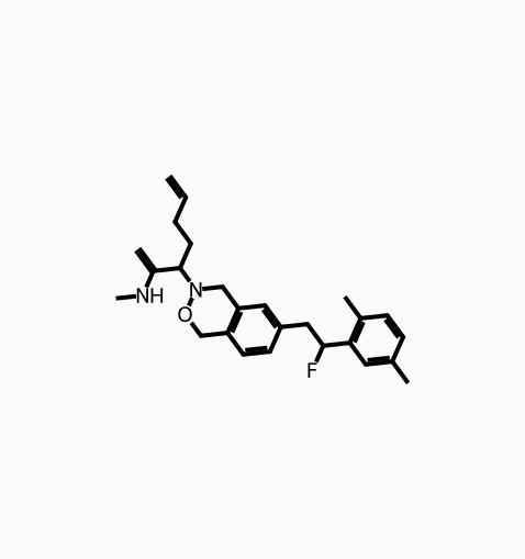 C=CCCC(C(=C)NC)N1Cc2cc(CC(F)c3cc(C)ccc3C)ccc2CO1